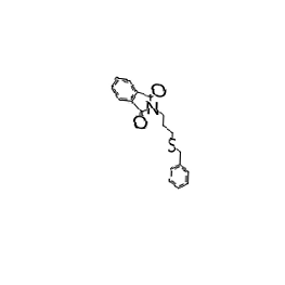 O=C1c2ccccc2C(=O)N1CCCSCc1ccccc1